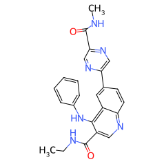 CCNC(=O)c1cnc2ccc(-c3cnc(C(=O)NC)cn3)cc2c1Nc1ccccc1